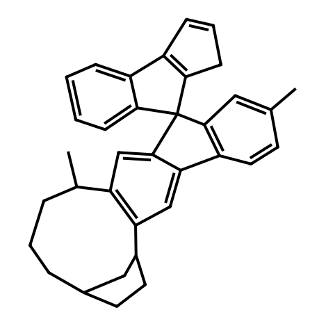 Cc1ccc2c(c1)C1(C3=C(C=CC3)c3ccccc31)c1cc3c(cc1-2)C1CCC(CCCC3C)C1